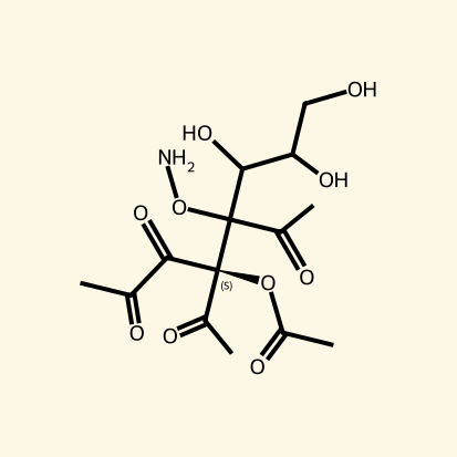 CC(=O)O[C@@](C(C)=O)(C(=O)C(C)=O)C(ON)(C(C)=O)C(O)C(O)CO